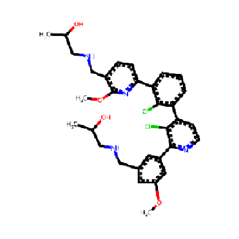 COc1cc(CNCC(C)O)cc(-c2nccc(-c3cccc(-c4ccc(CNCC(C)O)c(OC)n4)c3Cl)c2Cl)c1